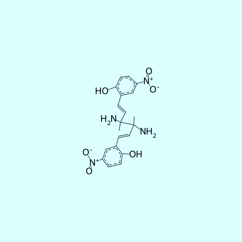 CC(N)(C=Cc1cc([N+](=O)[O-])ccc1O)C(C)(N)C=Cc1cc([N+](=O)[O-])ccc1O